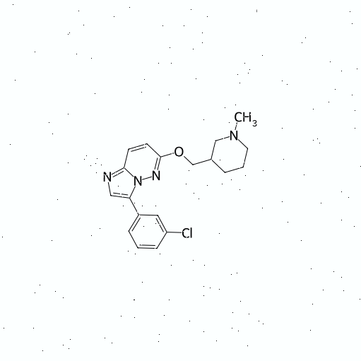 CN1CCCC(COc2ccc3ncc(-c4cccc(Cl)c4)n3n2)C1